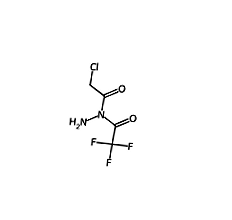 NN(C(=O)CCl)C(=O)C(F)(F)F